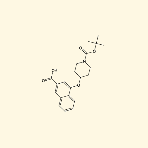 CC(C)(C)OC(=O)N1CCC(Oc2cc(C(=O)O)cc3ccccc23)CC1